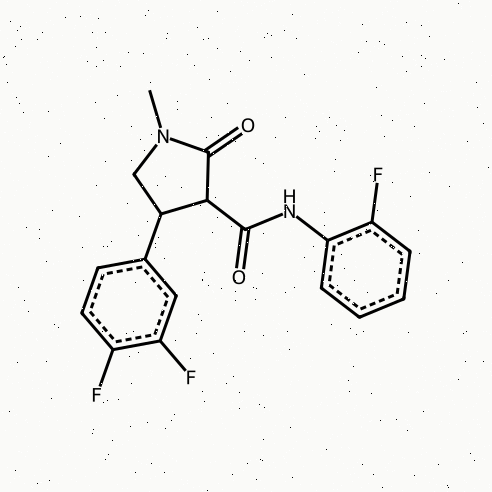 CN1CC(c2ccc(F)c(F)c2)C(C(=O)Nc2ccccc2F)C1=O